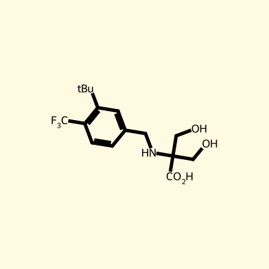 CC(C)(C)c1cc(CNC(CO)(CO)C(=O)O)ccc1C(F)(F)F